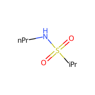 CCCNS(=O)(=O)C(C)C